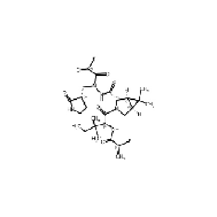 CCC(C)(C)[C@H](NC(=O)[C@H](C)F)C(=O)N1C[C@H]2[C@@H]([C@H]1C(=O)NN(C[C@@H]1CCNC1=O)C(=O)[C@H](F)Cl)C2(C)C